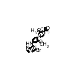 COc1cc(Nc2nc(Br)cn3ccnc23)ccc1N1CCN(C2COC2)C(C)(C)C1